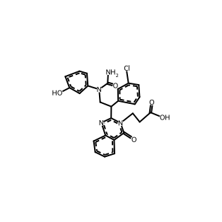 NC(=O)N(CC(c1cccc(Cl)c1)c1nc2ccccc2c(=O)n1CCC(=O)O)c1cccc(O)c1